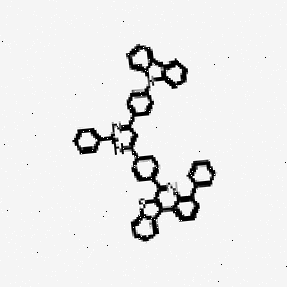 c1ccc(-c2nc(-c3ccc(-c4nc5c(-c6ccccc6)cccc5c5c4sc4ccccc45)cc3)cc(-c3ccc(-n4c5ccccc5c5ccccc54)cc3)n2)cc1